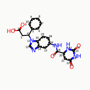 O=C(O)CC(c1ccccc1)n1cnc2cc(NC(=O)c3cc(=O)[nH]c(=O)[nH]3)ccc21